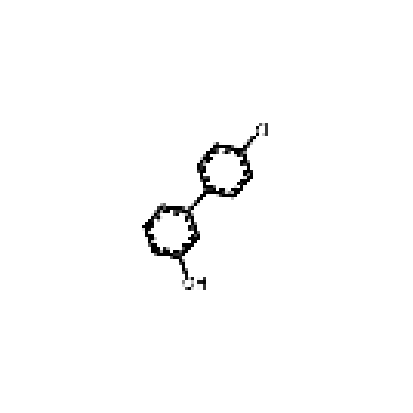 Oc1cccc(-c2[c]cc(Cl)cc2)c1